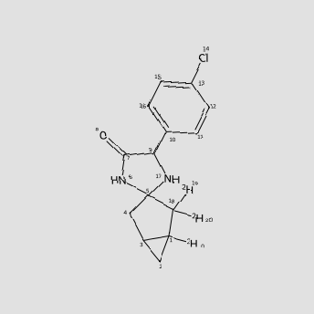 [2H]C12CC1CC1(NC(=O)C(c3ccc(Cl)cc3)N1)C2([2H])[2H]